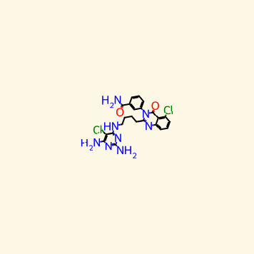 NC(=O)c1cccc(-n2c(CCCCNc3nc(N)nc(N)c3Cl)nc3cccc(Cl)c3c2=O)c1